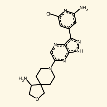 Nc1cc(-c2n[nH]c3nc(N4CCC5(CC4)COCC5N)cnc23)cc(Cl)n1